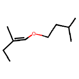 CCC(C)=COCCC(C)C